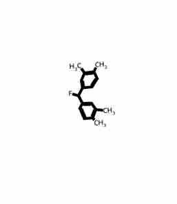 Cc1ccc(C(F)c2ccc(C)c(C)c2)cc1C